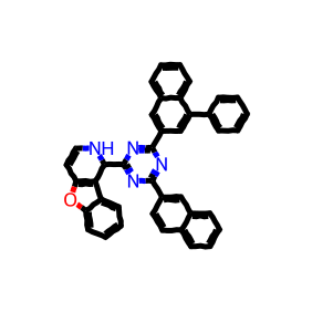 C1=Cc2oc3ccccc3c2C(c2nc(-c3ccc4ccccc4c3)nc(-c3cc(-c4ccccc4)c4ccccc4c3)n2)N1